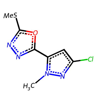 CSc1nnc(-c2cc(Cl)nn2C)o1